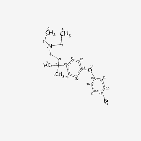 CCN(CC)CCC(C)(O)c1ccc(Oc2ccc(Br)cc2)cc1